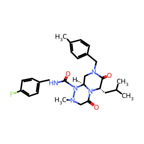 Cc1ccc(CN2C[C@H]3N(C(=O)CN(C)N3C(=O)NCc3ccc(F)cc3)[C@@H](CC(C)C)C2=O)cc1